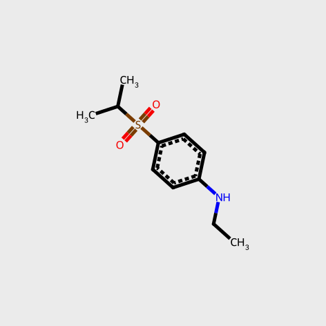 CCNc1ccc(S(=O)(=O)C(C)C)cc1